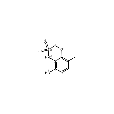 Cc1ccc(O)c2c1OCS(=O)(=O)N2